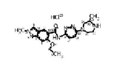 CCOc1cc2nn(C)cc2cc1C(=O)Nc1ccc(N2CCN[C@H](C)C2)nn1.Cl